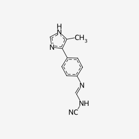 Cc1[nH]cnc1-c1ccc(/N=C/NC#N)cc1